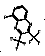 Fc1cccc2nc(C(F)(F)F)c(C(F)(F)F)nc12